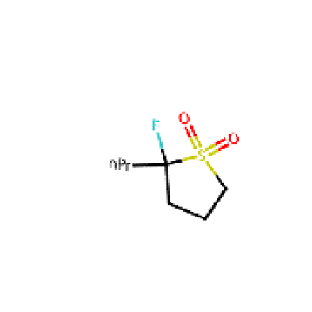 CCCC1(F)CCCS1(=O)=O